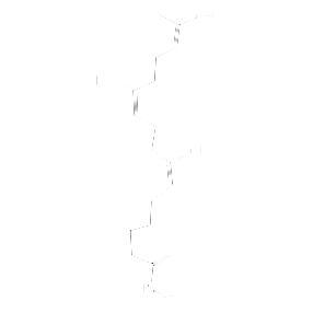 CCNC(=O)CC(C)CCC=C(C)CCC=C(C)CCC=C(C)C